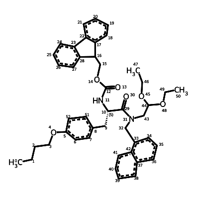 CCCCOc1ccc(C[C@H](NC(=O)OCC2c3ccccc3-c3ccccc32)C(=O)N(Cc2cccc3ccccc23)CC(OCC)OCC)cc1